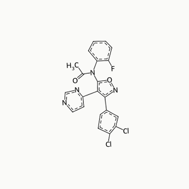 CC(=O)N(c1ccccc1F)c1onc(-c2ccc(Cl)c(Cl)c2)c1-c1ccncn1